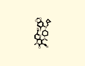 Cn1c(=O)c(C#N)c(N(C)[C@H]2CC[C@@H](N(CC3CCC3)c3cc4c(cc3F)OCO4)CC2)c2nc(C#N)ccc21